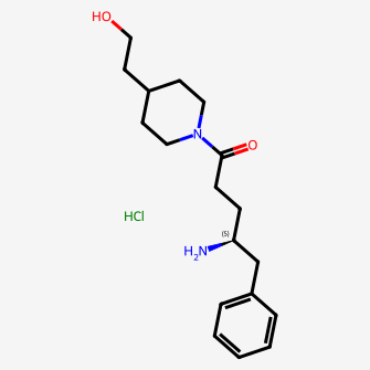 Cl.N[C@@H](CCC(=O)N1CCC(CCO)CC1)Cc1ccccc1